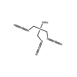 CNS(CN=[N+]=[N-])(CN=[N+]=[N-])CN=[N+]=[N-]